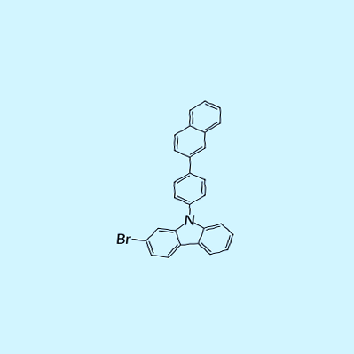 Brc1ccc2c3ccccc3n(-c3ccc(-c4ccc5ccccc5c4)cc3)c2c1